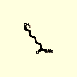 C=CC=CCCCC(=O)OC